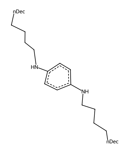 CCCCCCCCCCCCCCNc1ccc(NCCCCCCCCCCCCCC)cc1